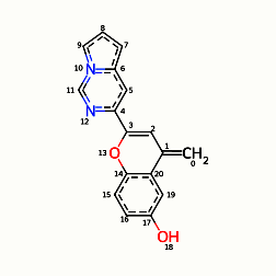 C=C1C=C(c2cc3cccn3cn2)Oc2ccc(O)cc21